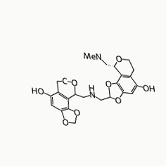 CNC[C@@H]1OCCc2c(O)cc3c(c21)OC(CNCC1OCCc2c(O)cc4c(c21)OCO4)O3